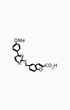 COc1ccc(-c2ccnc(SCc3ccc4oc(C(=O)O)cc4c3)n2)cc1